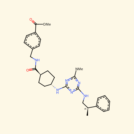 CNc1nc(NC[C@H](C)c2ccccc2)nc(N[C@H]2CC[C@H](C(=O)NCc3ccc(C(=O)OC)cc3)CC2)n1